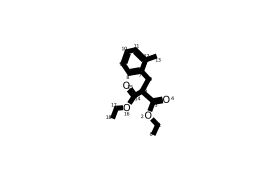 CCOC(=O)C(Cc1ccccc1C)C(=O)OCC